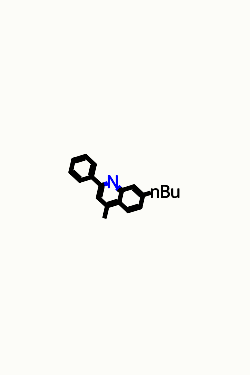 CCCCc1ccc2c(C)cc(-c3ccccc3)nc2c1